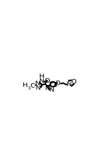 Cc1ncc2c(n1)NC(=O)C2c1ncnc2cc(OCCCN3CCOCC3)ccc12